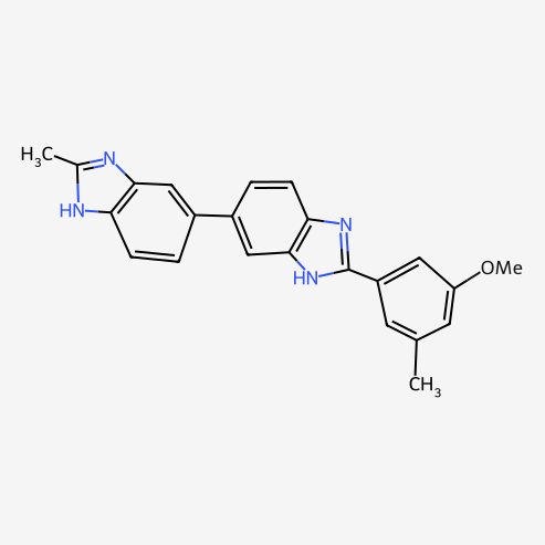 COc1cc(C)cc(-c2nc3ccc(-c4ccc5[nH]c(C)nc5c4)cc3[nH]2)c1